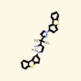 CN(/C=C\C(=N)C(C)(C)c1ccn(-c2ccc3sc4ccccc4c3c2)n1)c1ccc2sc3ccccc3c2c1